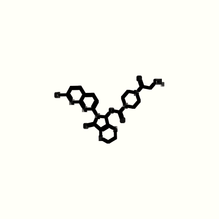 CCC(=O)N1CCN(C(=O)OC2C3=C(SCCS3)C(=O)N2c2ccc3ccc(Cl)nc3n2)CC1